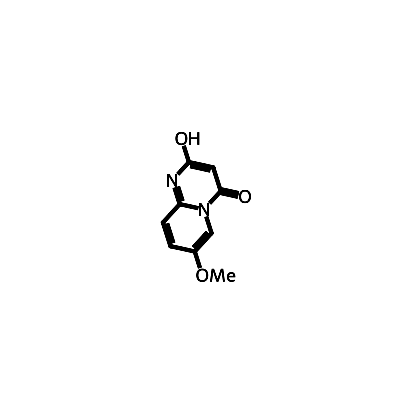 COc1ccc2nc(O)cc(=O)n2c1